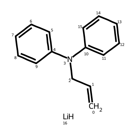 C=C[CH]N(c1ccccc1)c1ccccc1.[LiH]